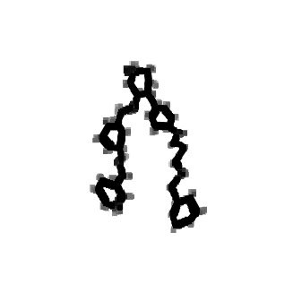 c1ccc(COCCCOc2ccc(C3CCNCC3OCc3cccc(COCc4cccnc4)c3)cc2)cc1